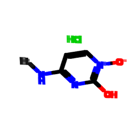 CCNc1cc[n+]([O-])c(O)n1.Cl